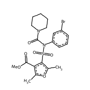 COC(=O)c1c(C)oc(C)c1S(=O)(=O)N(C(=O)N1CCCCC1)c1cccc(Br)c1